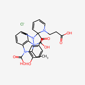 CCC1N(C(=O)O)c2ccc3cc2[N+]1(C(=O)O)N3C1(C(=O)c2ccc(O)cc2)C=CC=CN1CCC(=O)O.[Cl-]